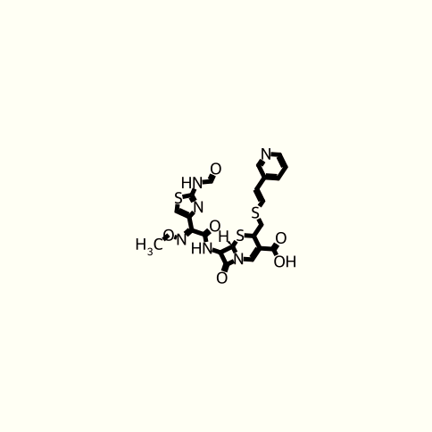 CON=C(C(=O)NC1C(=O)N2C=C(C(=O)O)C(CSC=Cc3cccnc3)S[C@H]12)c1csc(NC=O)n1